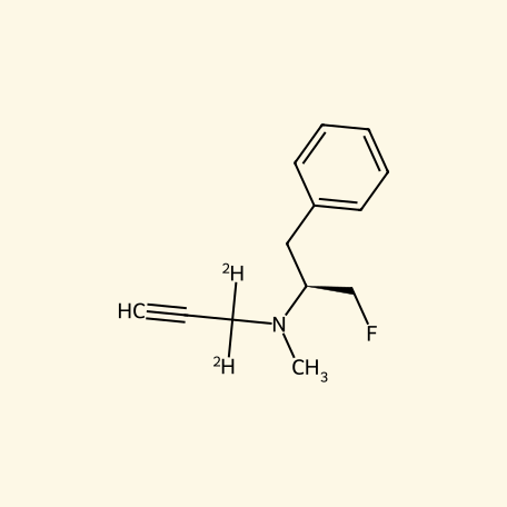 [2H]C([2H])(C#C)N(C)[C@H](CF)Cc1ccccc1